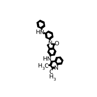 Cc1nc2ccccc2c(Nc2ccc3c(c2)CN(c2cccc(Nc4ccccc4)c2)C3=O)c1C